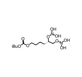 CC(C)COC(=O)OCCCC[C@@H](CON(O)O)ON(O)O